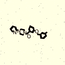 Cc1cccc(COc2cccc(C(=O)N3CCN(c4ccccn4)CC3)c2)c1